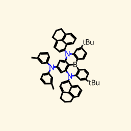 Cc1cccc(N(c2cccc(C)c2)c2cc3c4c(c2)N(c2ccc5c6c(cccc26)CCC5)c2cc(C(C)(C)C)ccc2B4c2ccc(C(C)(C)C)cc2N3c2ccc3c4c(cccc24)CCC3)c1